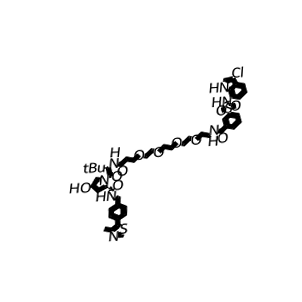 Cc1ncsc1-c1ccc(CNC(=O)[C@@H]2C[C@@H](O)CN2C(=O)[C@@H](NC(=O)CCOCCOCCOCCOCCNC(=O)c2cccc(S(=O)(=O)Nc3cccc4c(Cl)c[nH]c34)c2)C(C)(C)C)cc1